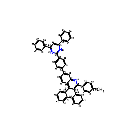 Cc1ccc(-c2nc3cc(-c4ccc(-c5nc(-c6ccccc6)cc(-c6ccccc6)n5)cc4)ccc3c3c4ccccc4c4ccccc4c23)cc1